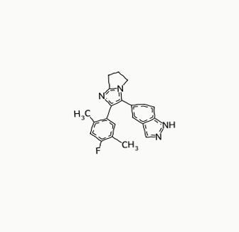 Cc1cc(-c2nc3n(c2-c2ccc4[nH]ncc4c2)CCC3)c(C)cc1F